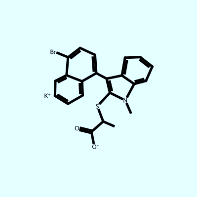 CC(Sc1c(-c2ccc(Br)c3ccccc23)c2ccccc2n1C)C(=O)[O-].[K+]